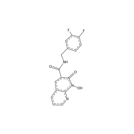 O=C(NCc1ccc(F)c(F)c1)c1cc2cccnc2n(O)c1=O